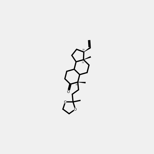 C=C[C@@H]1CCC2C3CCC(=O)[C@@](C)(CCC4(C)OCCO4)C3CC[C@]21C